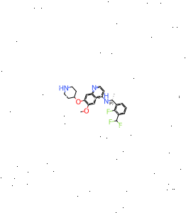 COc1cc2c(N[C@H](C)c3cccc(C(F)F)c3F)ccnc2cc1OC1CCNCC1